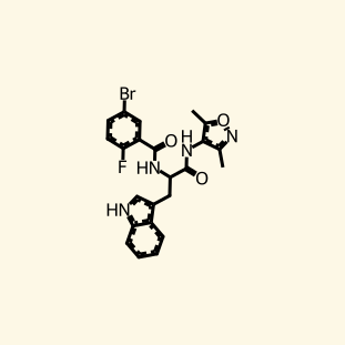 Cc1noc(C)c1NC(=O)C(Cc1c[nH]c2ccccc12)NC(=O)c1cc(Br)ccc1F